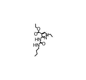 CCCCNC(=O)Nc1nn(CC)cc1C(=O)OCC